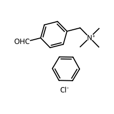 C[N+](C)(C)Cc1ccc(C=O)cc1.[Cl-].c1ccccc1